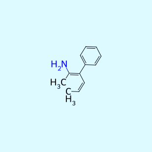 C/C=C\C(=C(/C)N)c1ccccc1